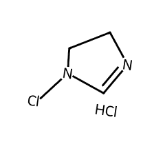 Cl.ClN1C=NCC1